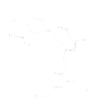 CCOC(=O)Cc1cc(COC)ccc1OCc1nn(C(C)C)c2ccc(-c3ccc(OC)c(C(=N)N)c3)cc12